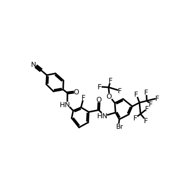 N#Cc1ccc(C(=O)Nc2cccc(C(=O)Nc3c(Br)cc(C(F)(C(F)(F)F)C(F)(F)F)cc3OC(F)(F)F)c2F)cc1